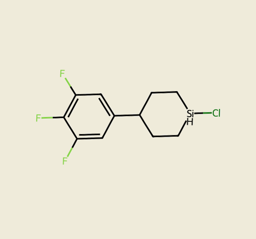 Fc1cc(C2CC[SiH](Cl)CC2)cc(F)c1F